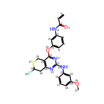 C=CC(=O)Nc1cccc(Oc2nc(Nc3cccc(OC)c3)nc3c2CSC(F)C3)c1